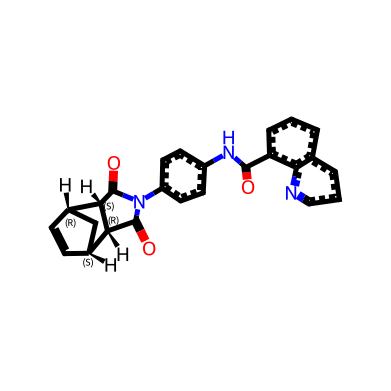 O=C(Nc1ccc(N2C(=O)[C@@H]3[C@H](C2=O)[C@@H]2C=C[C@H]3C2)cc1)c1cccc2cccnc12